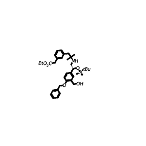 CCOC(=O)Cc1cccc(CC(C)(C)NC[C@H](O[Si](C)(C)C(C)(C)C)c2ccc(OCc3ccccc3)c(CO)c2)c1